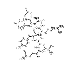 CC(C)C[C@H](NC(=O)[C@H](CC(C)C)NC(=O)[C@H](C)NC(=O)[C@H](CCCNC(=N)N)NC(=O)[C@H](Cc1ccc(O)cc1)NC(=O)[C@H](CCC(N)=O)NC(=O)[C@@H](C)CCC(N)=O)C(N)=O